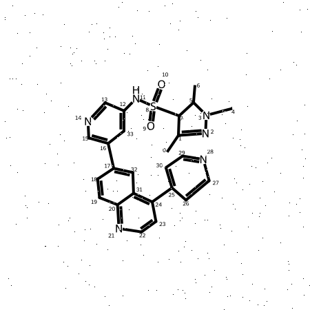 CC1=NN(C)C(C)C1S(=O)(=O)Nc1cncc(-c2ccc3nccc(-c4ccncc4)c3c2)c1